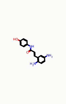 Nc1ccc(N)c(C=CC(=O)Nc2ccc(O)cc2)c1